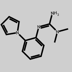 CN(C)C(N)=Nc1ccccc1-n1cccc1